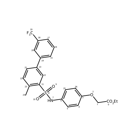 CCOC(=O)COc1ccc(NS(=O)(=O)c2cc(-c3cccc(C(F)(F)F)c3)ccc2C)cc1